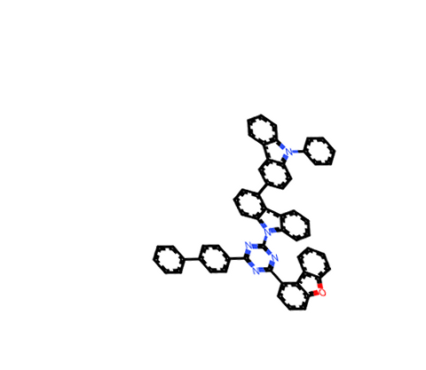 c1ccc(-c2ccc(-c3nc(-c4cccc5oc6ccccc6c45)nc(-n4c5ccccc5c5c(-c6ccc7c(c6)c6ccccc6n7-c6ccccc6)cccc54)n3)cc2)cc1